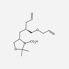 C=CCOC[C@H](CC=C)CC1COC(C)(C)N1C(=O)O